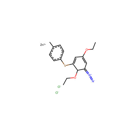 CCOC1=CC(=[N+]=[N-])C(OCC)C(Sc2ccc(C)cc2)=C1.[Cl-].[Cl-].[Zn+2]